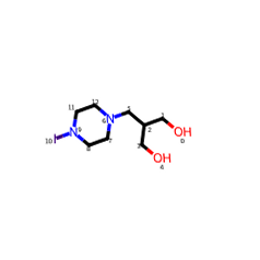 OCC(CO)CN1CCN(I)CC1